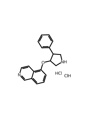 Cl.Cl.c1ccc(C2CNCC2Oc2cccc3cnccc23)cc1